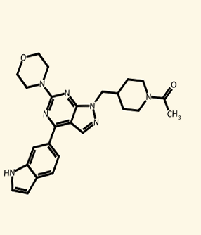 CC(=O)N1CCC(Cn2ncc3c(-c4ccc5cc[nH]c5c4)nc(N4CCOCC4)nc32)CC1